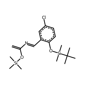 C=C(N=Cc1cc(Cl)ccc1O[Si](C)(C)C(C)(C)C)O[Si](C)(C)C